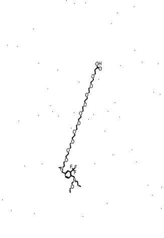 CCCN(COCC)Cc1ccc(CN(C)CCOCCOCCOCCOCCOCCOCCOCCOCCOCCOCCC(=O)O)cc1C(F)(F)F